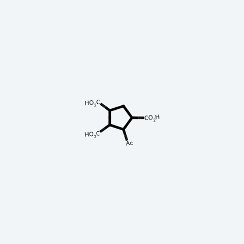 CC(=O)C1C(C(=O)O)CC(C(=O)O)C1C(=O)O